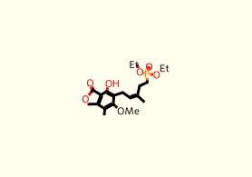 CCOP(=O)(CCC(C)=CCc1c(O)c2c(c(C)c1OC)COC2=O)OCC